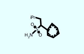 CC(C)CC(c1ccccc1)S(N)(=O)=O